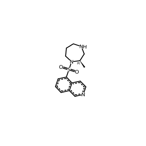 C[C@@H]1CNCCCN1S(=O)(=O)c1cccc2cnccc12